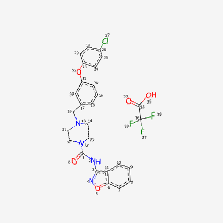 O=C(Nc1noc2ccccc12)N1CCN(Cc2cccc(Oc3ccc(Cl)cc3)c2)CC1.O=C(O)C(F)(F)F